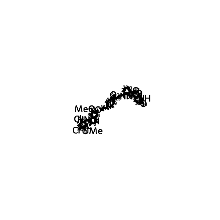 COc1cc(Nc2c(C#N)cnc3cc(OCCCN4CCN(C(=O)CCNc5cccc6c5CN(C5CCC(=O)NC5=O)C6=O)CC4)c(OC)cc23)c(Cl)cc1Cl